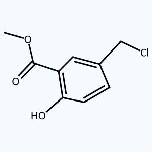 COC(=O)c1cc(CCl)ccc1O